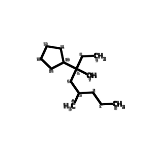 CCCC(C)CC(O)(CC)C1CCCC1